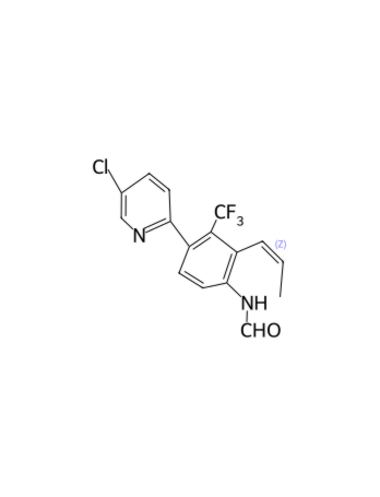 C/C=C\c1c(NC=O)ccc(-c2ccc(Cl)cn2)c1C(F)(F)F